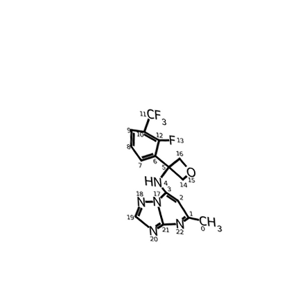 Cc1cc(NC2(c3cccc(C(F)(F)F)c3F)COC2)n2ncnc2n1